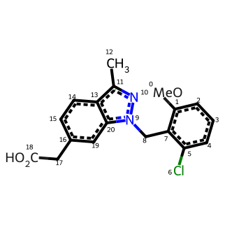 COc1cccc(Cl)c1Cn1nc(C)c2ccc(CC(=O)O)cc21